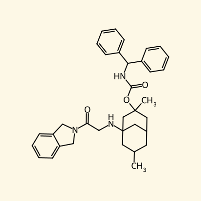 CC1CC2CC(NCC(=O)N3Cc4ccccc4C3)(C1)CC(C)(OC(=O)NC(c1ccccc1)c1ccccc1)C2